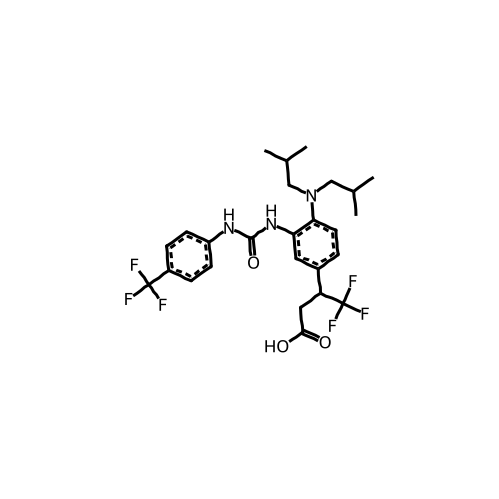 CC(C)CN(CC(C)C)c1ccc(C(CC(=O)O)C(F)(F)F)cc1NC(=O)Nc1ccc(C(F)(F)F)cc1